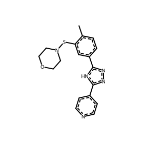 Cc1ccc(-c2nnc(-c3ccncc3)[nH]2)cc1SN1CCOCC1